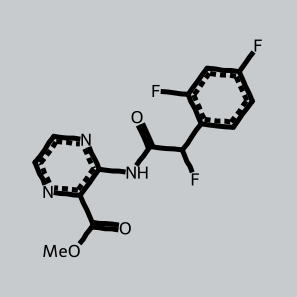 COC(=O)c1nccnc1NC(=O)C(F)c1ccc(F)cc1F